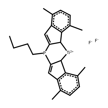 CCCCP1C2=Cc3c(C)ccc(C)c3[CH]2[Ti+2][CH]2C1=Cc1c(C)ccc(C)c12.[F-].[F-]